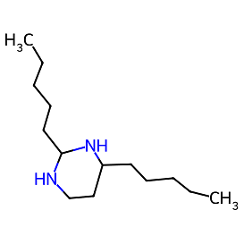 CCCCCC1CCNC(CCCCC)N1